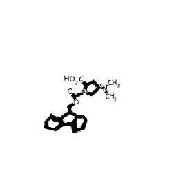 CN(C)[C@@H]1CC(C(=O)O)N(C(=O)OCC2c3ccccc3-c3ccccc32)C1